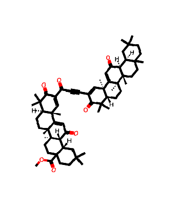 COC(=O)C12CCC(C)(C)C[C@H]1[C@H]1C(=O)C=C3[C@@]4(C)C=C(C(=O)C#CC5=C[C@@]6(C)C7=CC(=O)[C@H]8[C@H]9CC(C)(C)CCC9(C)CC[C@]8(C)[C@@]7(C)CC[C@@H]6C(C)(C)C5=O)C(=O)C(C)(C)[C@@H]4CC[C@@]3(C)[C@]1(C)CC2